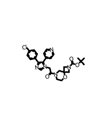 CC(C)(C)OC(=O)N1CC2(CN(C(=O)Cn3cnc(-c4ccc(Cl)cc4)c3-c3ccncc3)CCO2)C1